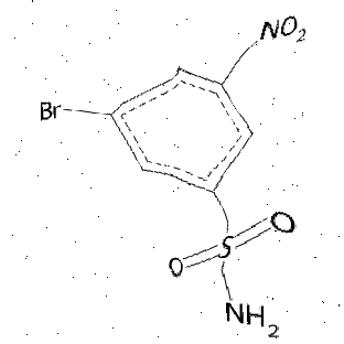 NS(=O)(=O)c1cc(Br)cc([N+](=O)[O-])c1